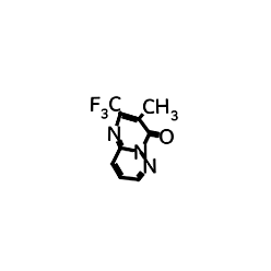 Cc1c(C(F)(F)F)nc2cccnn2c1=O